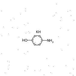 Nc1ccc(O)cc1.[KH]